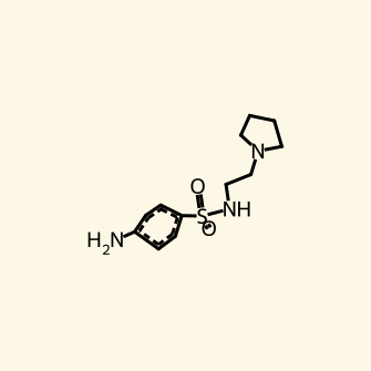 Nc1ccc(S(=O)(=O)NCCN2CCCC2)cc1